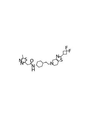 Cc1nnc(CC(=O)N[C@H]2CC[C@H](CCN3CCc4sc(C5CC(F)(F)C5)nc4C3)CC2)s1